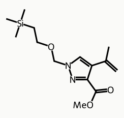 C=C(C)c1cn(COCC[Si](C)(C)C)nc1C(=O)OC